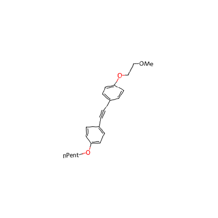 CCCCCOc1ccc(C#Cc2ccc(OCCOC)cc2)cc1